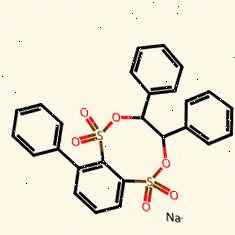 O=S1(=O)OC(c2ccccc2)C(c2ccccc2)OS(=O)(=O)c2c(-c3ccccc3)cccc21.[Na]